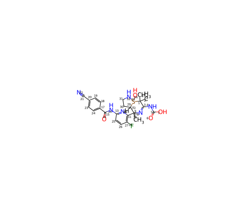 CC1(C)C(NC(=O)O)=N[C@](C)(c2nc(NC(=O)c3ccc(C#N)cc3)ccc2F)[C@@H]2CCNS21O